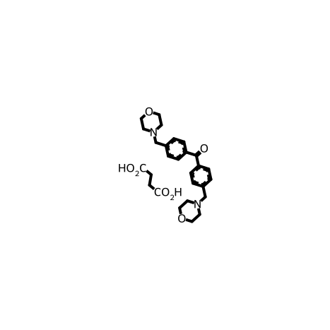 O=C(O)CCC(=O)O.O=C(c1ccc(CN2CCOCC2)cc1)c1ccc(CN2CCOCC2)cc1